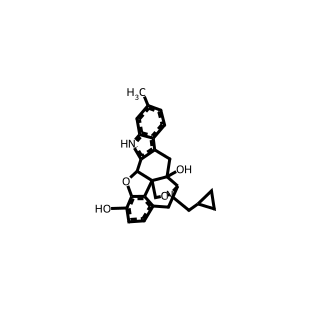 Cc1ccc2c3c([nH]c2c1)C1Oc2c(O)ccc4c2C12CCN(CC1CC1)C(C4)C2(O)C3